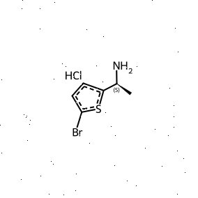 C[C@H](N)c1ccc(Br)s1.Cl